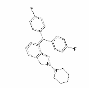 Fc1ccc(C(c2ccc(F)cc2)=c2cccc3c2=CN(N2CCCCC2)C3)cc1